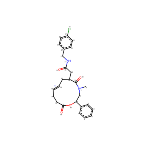 CN1CC(c2ccccc2)OC(=O)CC/C=C/CC(CC(=O)NCc2ccc(Cl)cc2)C1=O